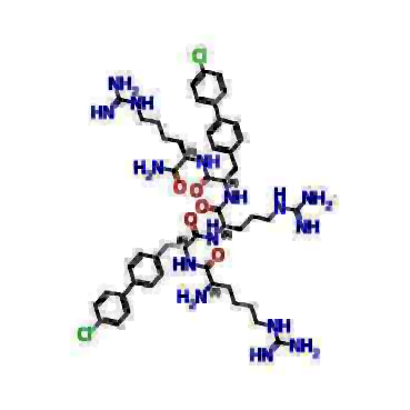 N=C(N)NCCCC[C@@H](N)C(=O)N[C@H](Cc1ccc(-c2ccc(Cl)cc2)cc1)C(=O)N[C@H](CCCNC(=N)N)C(=O)N[C@H](Cc1ccc(-c2ccc(Cl)cc2)cc1)C(=O)N[C@H](CCCCNC(=N)N)C(N)=O